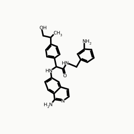 CC(CO)c1ccc(C(Nc2ccc3c(N)nccc3c2)C(=O)NCc2cccc(N)c2)cc1